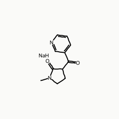 CN1CCC(C(=O)c2cccnc2)C1=O.[NaH]